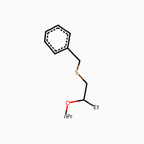 CCCOC(CC)CSCc1ccccc1